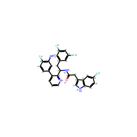 Nc1cc(-c2cccnc2C(Cc2cc(F)cc(F)c2)NC(=O)Cc2c[nH]c3ccc(F)cc23)ccc1F